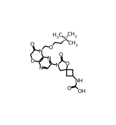 C[Si](C)(C)CCOCN1C(=O)COc2ncc(N3CC4(CC(NC(=O)O)C4)OC3=O)nc21